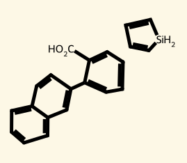 C1=C[SiH2]C=C1.O=C(O)c1ccccc1-c1ccc2ccccc2c1